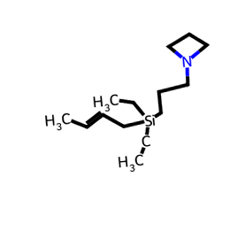 CC=CC[Si](CC)(CC)CCCN1CCC1